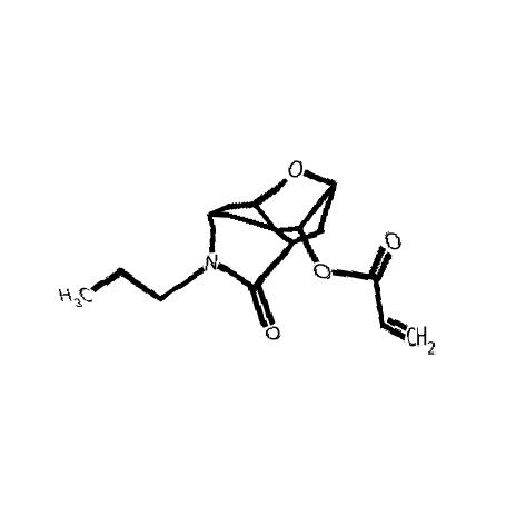 C=CC(=O)OC1C2CC3C(=O)N(CCC)C1C3O2